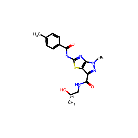 Cc1ccc(C(=O)Nc2nc3c(s2)c(C(=O)NC[C@H](C)O)nn3C(C)(C)C)cc1